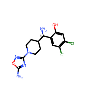 Nc1nc(N2CCC([C@@H](N)c3cc(Cl)c(Cl)cc3O)CC2)no1